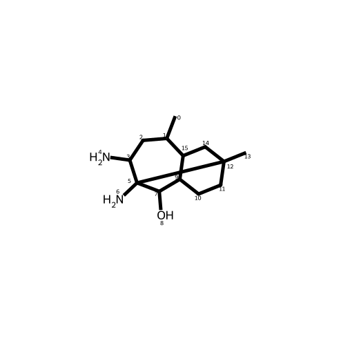 CC1CC(N)C2(N)C(O)C3CCC2(C)CC13